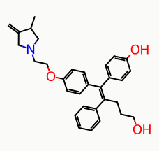 C=C1CN(CCOc2ccc(/C(=C(/CCCO)c3ccccc3)c3ccc(O)cc3)cc2)CC1C